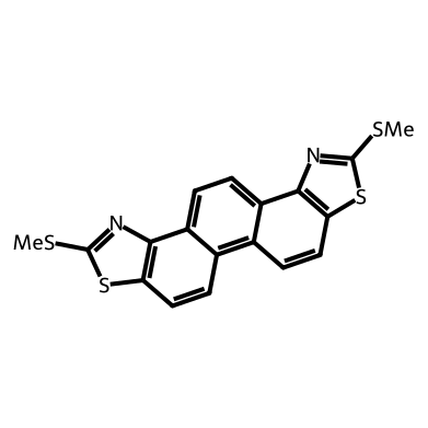 CSc1nc2c(ccc3c4ccc5sc(SC)nc5c4ccc32)s1